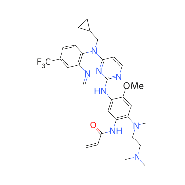 C=CC(=O)Nc1cc(Nc2nccc(N(CC3CC3)c3ccc(C(F)(F)F)cc3N=C)n2)c(OC)cc1N(C)CCN(C)C